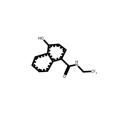 O=C(NCC(F)(F)F)c1ccc(O)c2ccccc12